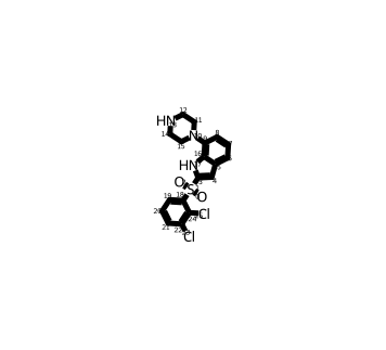 O=S(=O)(c1cc2cccc(N3CCNCC3)c2[nH]1)c1cccc(Cl)c1Cl